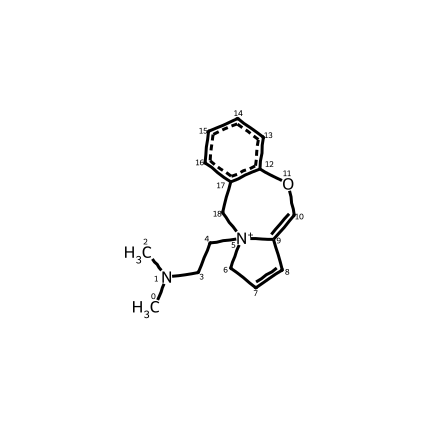 CN(C)CC[N+]12CC=CC1=COc1ccccc1C2